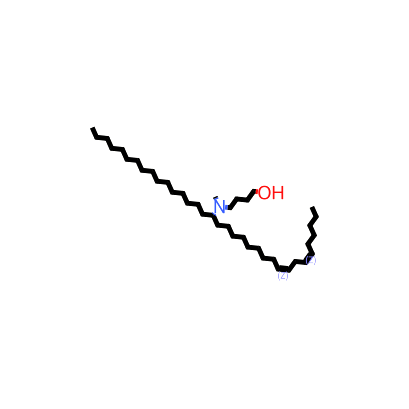 CCCCC/C=C\C/C=C\CCCCCCCCC(CCCCCCCCCCCCCCCC)N(C)CCCCO